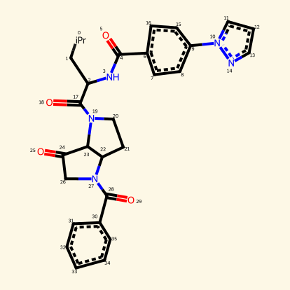 CC(C)CC(NC(=O)c1ccc(-n2cccn2)cc1)C(=O)N1CCC2C1C(=O)CN2C(=O)c1ccccc1